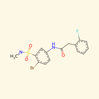 C=NS(=O)(=O)c1cc(NC(=O)Cc2ccccc2F)ccc1Br